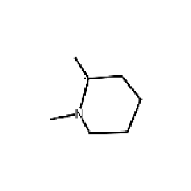 C[C]1CCCCN1C